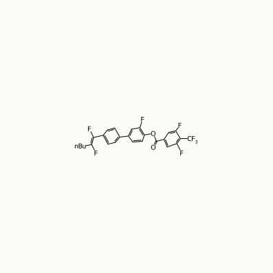 CCCC/C(F)=C(\F)c1ccc(-c2ccc(OC(=O)c3cc(F)c(C(F)(F)F)c(F)c3)c(F)c2)cc1